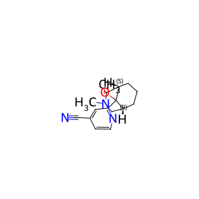 COC1(c2cc(C#N)ccn2)[C@@H]2CCC[C@H]1CN(C)C2